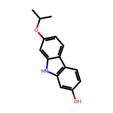 CC(C)Oc1ccc2c(c1)[nH]c1cc(O)ccc12